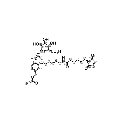 CC(C)C(=O)OCc1ccc(NC(=O)O[C@@H]2O[C@H](C(=O)O)[C@@H](O)[C@H](O)[C@H]2O)c(OCCOCCNC(=O)CCCCCN2C(=O)C=CC2=O)c1